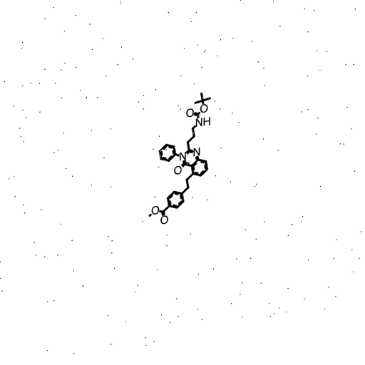 COC(=O)c1ccc(CCc2cccc3nc(CCCNC(=O)OC(C)(C)C)n(-c4ccccc4)c(=O)c23)cc1